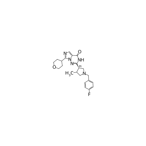 CC1CN(Cc2ccc(F)cc2)C[C@@H]1c1nn2c(C3CCOCC3)ncc2c(=O)[nH]1